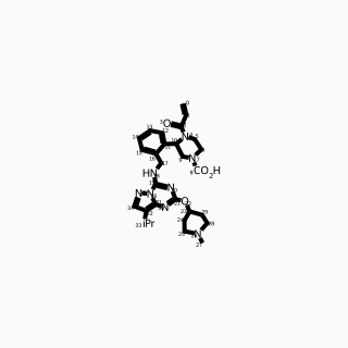 C=CC(=O)N1CCN(C(=O)O)CC1c1ccccc1CNc1nc(OC2CCN(C)CC2)nc2c(C(C)C)cnn12